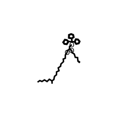 C=CCCCCOC(COCCCCCCCCCCCCC(C)CCCCCC)COC(c1ccccc1)(c1ccccc1)c1ccccc1